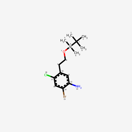 CC(C)(C)[Si](C)(C)OCCc1cc(N)c(Br)cc1Cl